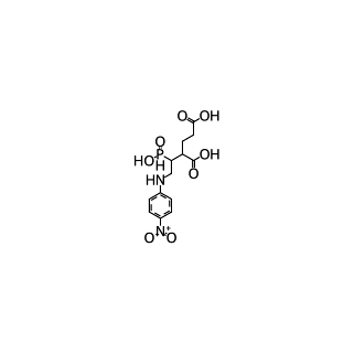 O=C(O)CCC(C(=O)O)C(CNc1ccc([N+](=O)[O-])cc1)[PH](=O)O